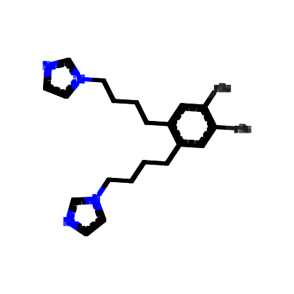 [CH2]CCCc1cc(CCCCn2ccnc2)c(CCCCn2ccnc2)cc1CCC[CH2]